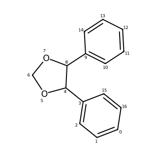 c1ccc(C2OCOC2c2ccccc2)cc1